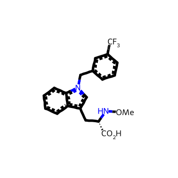 CON[C@@H](Cc1cn(Cc2cccc(C(F)(F)F)c2)c2ccccc12)C(=O)O